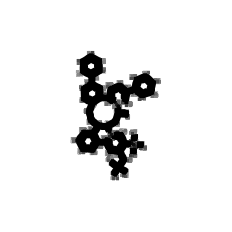 C=C1CC2C(CCc3ccc(-c4ccccc4)cc3-c3ccc(-c4ccccc4)c[n+]31)c1ccccc1-c1cc(CC(C)(C)C)c([Si](C)(C)C)c[n+]12